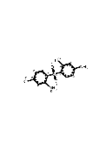 Nc1ccc(S(=O)(=O)c2ccc(Cl)cc2N)c(Cl)c1